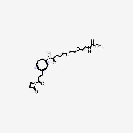 CNNCCOCCOCCCC(=O)N/C1=C/C=C(CCC(=O)N2CCC2=O)\C=C/CC1